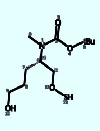 CN(C(=O)OC(C)(C)C)[C@@H](CCCO)COS